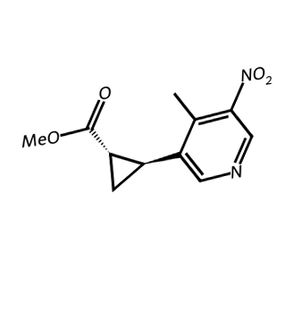 COC(=O)[C@H]1C[C@@H]1c1cncc([N+](=O)[O-])c1C